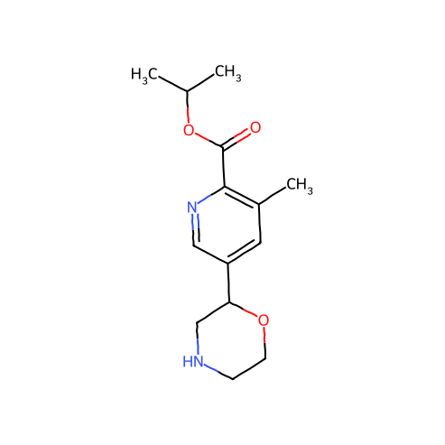 Cc1cc(C2CNCCO2)cnc1C(=O)OC(C)C